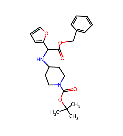 CC(C)(C)OC(=O)N1CCC(NC(C(=O)OCc2ccccc2)c2ccco2)CC1